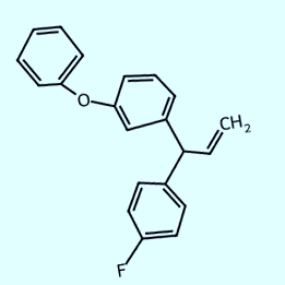 C=CC(c1ccc(F)cc1)c1cccc(Oc2ccccc2)c1